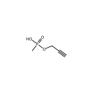 C#CCOP(C)(=O)O